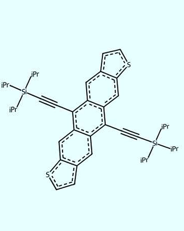 CC(C)[Si](C#Cc1c2cc3ccsc3cc2c(C#C[Si](C(C)C)(C(C)C)C(C)C)c2cc3ccsc3cc12)(C(C)C)C(C)C